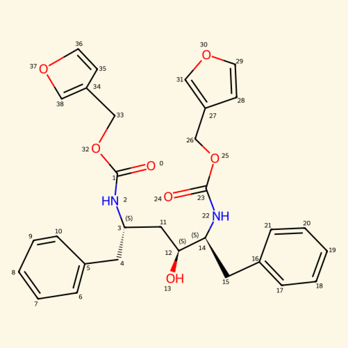 O=C(N[C@@H](Cc1ccccc1)C[C@H](O)[C@H](Cc1ccccc1)NC(=O)OCc1ccoc1)OCc1ccoc1